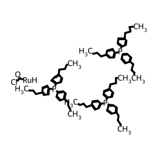 CCCCc1ccc(P(c2ccc(CCCC)cc2)c2ccc(CCCC)cc2)cc1.CCCCc1ccc(P(c2ccc(CCCC)cc2)c2ccc(CCCC)cc2)cc1.CCCCc1ccc(P(c2ccc(CCCC)cc2)c2ccc(CCCC)cc2)cc1.O=[C](Cl)[RuH]